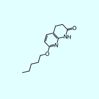 CCCCCOc1ccc2c(n1)NC(=O)CC2